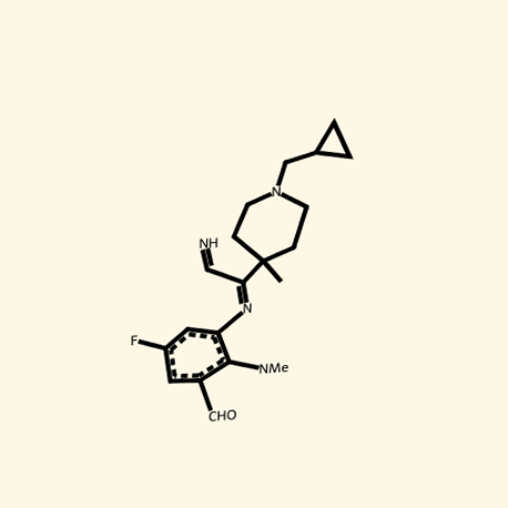 CNc1c(C=O)cc(F)cc1/N=C(\C=N)C1(C)CCN(CC2CC2)CC1